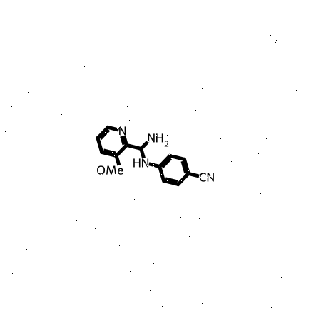 COc1cccnc1C(N)Nc1ccc(C#N)cc1